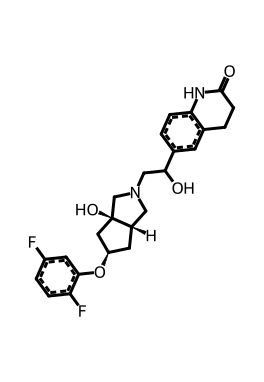 O=C1CCc2cc(C(O)CN3C[C@@H]4C[C@@H](Oc5cc(F)ccc5F)C[C@]4(O)C3)ccc2N1